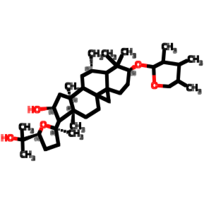 CC1COC(O[C@H]2CCC34CC35CC[C@]3(C)C([C@@]6(C)CC[C@@H](C(C)(C)O)O6)[C@@H](O)C[C@@]3(C)C5C[C@H](C)C4C2(C)C)C(C)C1C